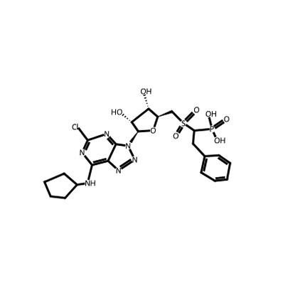 O=P(O)(O)C(Cc1ccccc1)S(=O)(=O)C[C@H]1O[C@@H](n2nnc3c(NC4CCCC4)nc(Cl)nc32)[C@H](O)[C@@H]1O